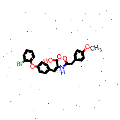 COc1ccc(CC(=O)N/C(=C/c2ccc(Oc3ccccc3Br)cc2)C(=O)O)cc1